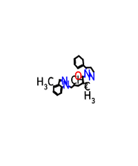 C=C(CC(C)C(=O)N1N=CCC1C1=CC=CCC1)Cn1ncc2c(C)cccc21